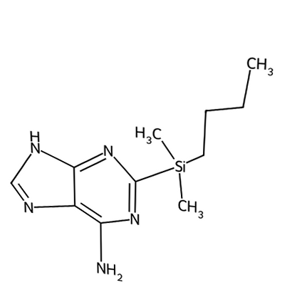 CCCC[Si](C)(C)c1nc(N)c2nc[nH]c2n1